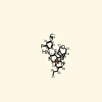 [C-]#[N+]c1ccc(Nc2ncnc(OC3C4COCC3CN(c3ncc(CCC)cn3)C4)c2F)c(F)c1